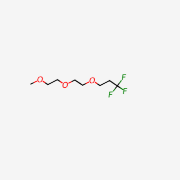 COCCOCCOCCC(F)(F)F